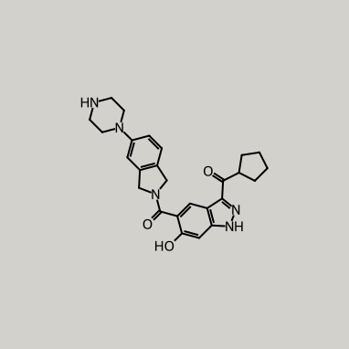 O=C(c1n[nH]c2cc(O)c(C(=O)N3Cc4ccc(N5CCNCC5)cc4C3)cc12)C1CCCC1